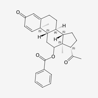 CC(=O)[C@H]1CC[C@H]2[C@@H]3CCC4=CC(=O)C=C[C@]4(C)[C@H]3CC(OC(=O)c3ccccc3)[C@]12C